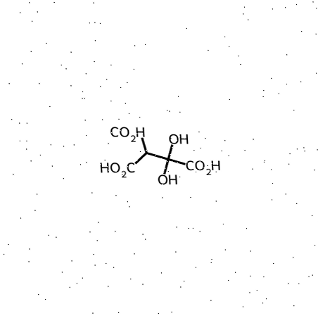 O=C(O)C(C(=O)O)C(O)(O)C(=O)O